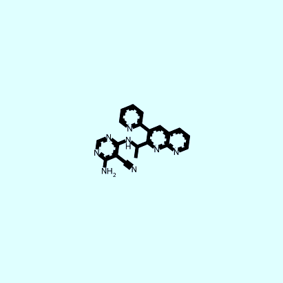 CC(Nc1ncnc(N)c1C#N)c1nc2ncccc2cc1-c1ccccn1